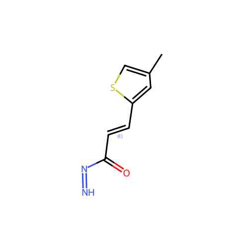 Cc1csc(/C=C/C(=O)N=N)c1